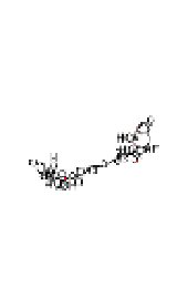 C[C@@H]1C[C@H]2[C@@H](CF)CCC3=CC(=O)C=C[C@]3(C)C[C@@H](O)C[C@]2(C)[C@@]1(O)C(=O)COC(=O)OCCOCCOCCOC(=O)OCC(=O)[C@@]1(O)[C@H](C)C[C@H]2[C@@H]3CCC4=CC(=O)C=C[C@]4(C)[C@@]3(F)[C@@H](O)C[C@@]21C